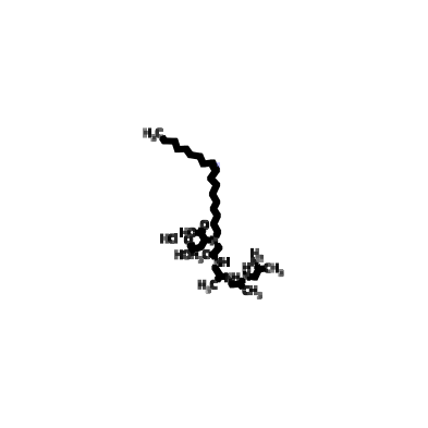 CCCCCCCC/C=C\CCCCCCCCN(CC(C)NCC(C)NCC(C)NCC(C)N)C(CC(=O)O)C(=O)O.Cl